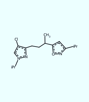 CC(C)c1cc(C(C)CCc2nn(C(C)C)cc2Cl)on1